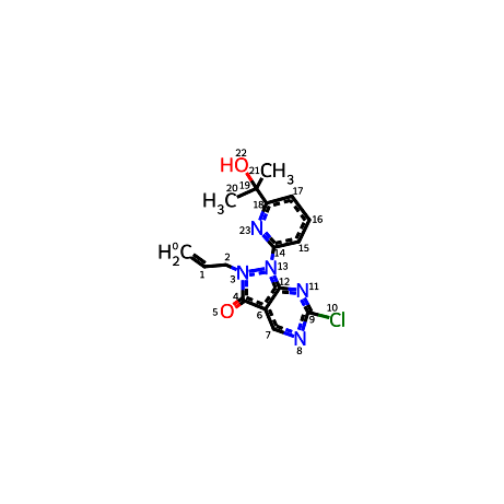 C=CCn1c(=O)c2cnc(Cl)nc2n1-c1cccc(C(C)(C)O)n1